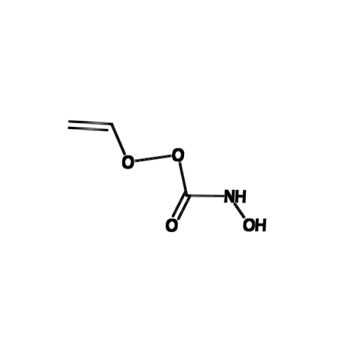 C=COOC(=O)NO